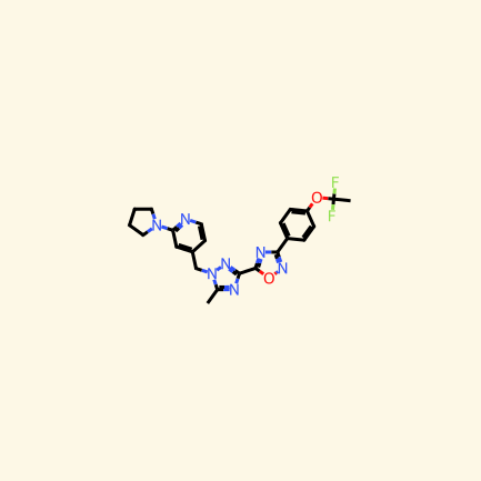 Cc1nc(-c2nc(-c3ccc(OC(C)(F)F)cc3)no2)nn1Cc1ccnc(N2CCCC2)c1